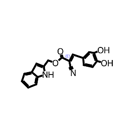 N#C/C(=C\c1ccc(O)c(O)c1)C(=O)OCc1cc2ccccc2[nH]1